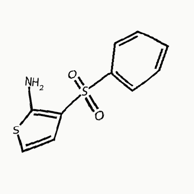 Nc1sccc1S(=O)(=O)c1ccccc1